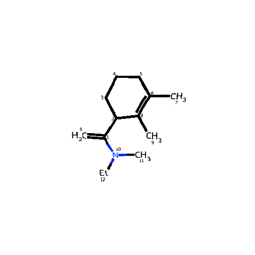 C=C(C1CCCC(C)=C1C)N(C)CC